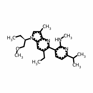 CCc1cc2c(nc1-c1ccc(C(C)C)nc1NC)c(C)cn2[C@H](CC)COC